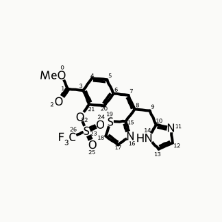 COC(=O)c1ccc(C=C(Cc2ncc[nH]2)c2nccs2)cc1OS(=O)(=O)C(F)(F)F